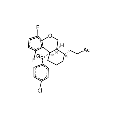 CC(=O)CC[C@@H]1CCC[C@@]2([S+]([O-])c3ccc(Cl)cc3)c3c(F)ccc(F)c3OC[C@@H]12